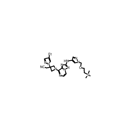 CCc1cnn(C2(CC#N)CN(c3nccn4nc(Nc5cnn(COCC[Si](C)(C)C)c5)nc34)C2)c1